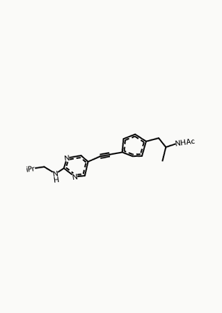 CC(=O)NC(C)Cc1ccc(C#Cc2cnc(NCC(C)C)nc2)cc1